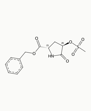 CS(=O)(=O)O[C@@H]1C[C@@H](C(=O)OCc2ccccc2)NC1=O